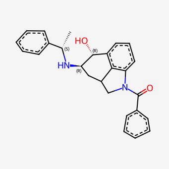 C[C@H](N[C@@H]1CC2CN(C(=O)c3ccccc3)c3cccc(c32)[C@H]1O)c1ccccc1